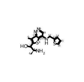 Cc1c(C(O)[C@H](C)N)sc2c(NCc3cccs3)cnnc12